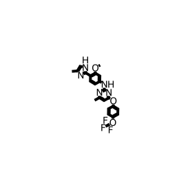 COc1cc(Nc2nc(C)cc(Oc3ccc(OC(F)(F)F)cc3)n2)ccc1-c1nc(C)c[nH]1